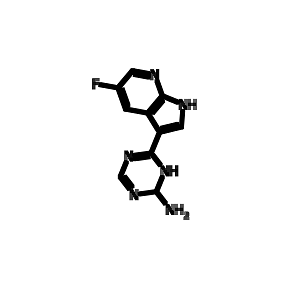 NC1N=CN=C(c2c[nH]c3ncc(F)cc23)N1